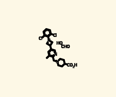 Cc1cc(C2CN(c3c(Cl)cccc3Cl)C2)cnc1CN1CCC(C(=O)O)CC1.O=CO